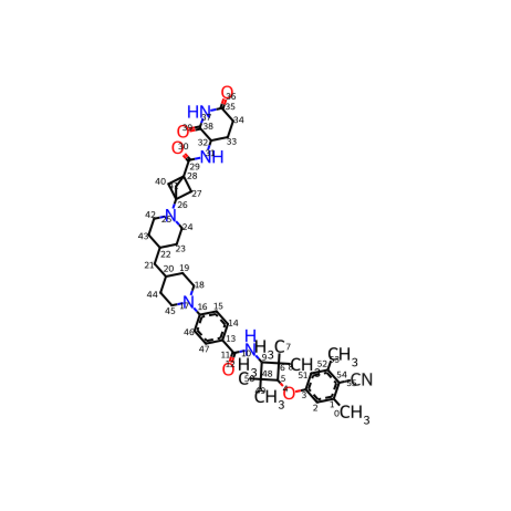 Cc1cc(OC2C(C)(C)C(NC(=O)c3ccc(N4CCC(CC5CCN(C67CC(C(=O)NC8CCC(=O)NC8=O)(C6)C7)CC5)CC4)cc3)C2(C)C)cc(C)c1C#N